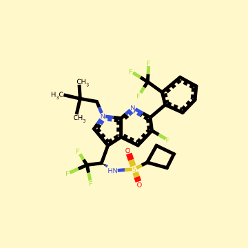 CC(C)(C)Cn1cc([C@H](NS(=O)(=O)C2CCC2)C(F)(F)F)c2cc(F)c(-c3ccccc3C(F)(F)F)nc21